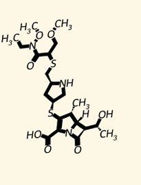 CCN(OC)C(=O)C(COC)SC[C@@H]1C[C@H](SC2=C(C(=O)O)N3C(=O)[C@H]([C@@H](C)O)[C@H]3[C@H]2C)CN1